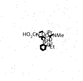 CCOc1ccccc1OCC1(C(C)OC(=O)C(NC)C(C)C)CN(C(=O)O)CCO1